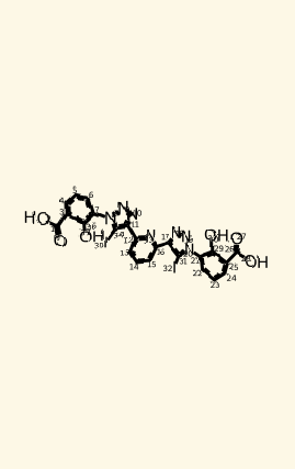 O=C(O)c1cccc(-n2nnc(-c3cccc(-c4nnn(-c5cccc(C(=O)O)c5O)c4I)n3)c2I)c1O